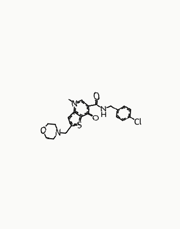 Cn1cc(C(=O)NCc2ccc(Cl)cc2)c(=O)c2sc(CN3CCOCC3)cc21